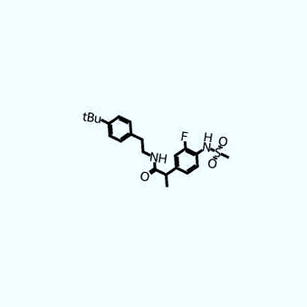 CC(C(=O)NCCc1ccc(C(C)(C)C)cc1)c1ccc(NS(C)(=O)=O)c(F)c1